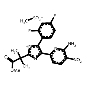 COC(=O)C(C)(C)c1nc(-c2ccc([N+](=O)[O-])c(N)n2)c(-c2ccc(F)cc2F)[nH]1.CS(=O)(=O)O